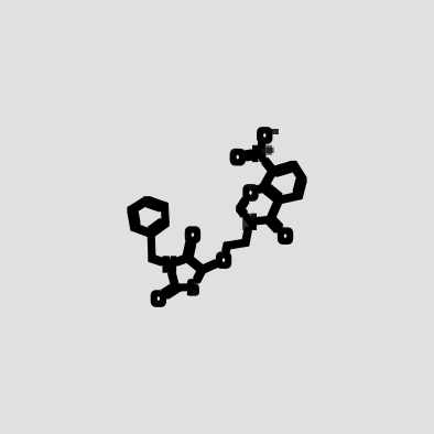 O=C1c2cccc([N+](=O)[O-])c2OCN1CCOC1SC(=O)N(Cc2ccccc2)C1=O